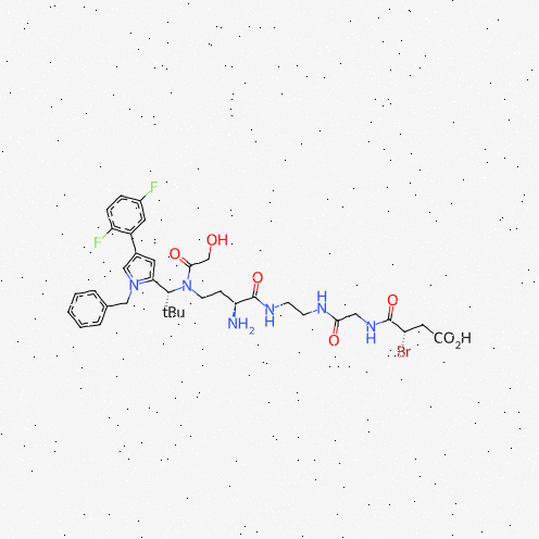 CC(C)(C)[C@H](c1cc(-c2cc(F)ccc2F)cn1Cc1ccccc1)N(CC[C@H](N)C(=O)NCCNC(=O)CNC(=O)[C@@H](Br)CC(=O)O)C(=O)CO